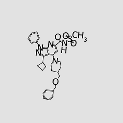 CS(=O)(=O)NC(=O)c1cc(N2CCC(COCc3ccccc3)CC2)c2c(C3CCC3)nn(-c3ccccc3)c2n1